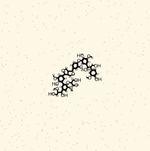 COc1cc(C(CO)C(O)c2cc(OC)c(O)c(Oc3ccc(C4OCC5C(c6cc(OC)c(O)c(-c7cc(C(O)C(CO)OC)cc(OC)c7OC(C=O)CO)c6)OCC45)cc3OC)c2)ccc1O